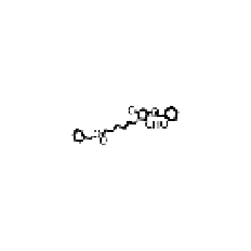 O=C[C@H]1[C@H](OCc2ccccc2)CC(=O)[C@@H]1CC=CCCCC(=O)OCc1ccccc1